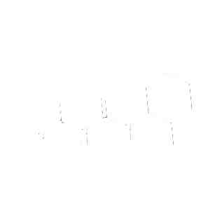 COC(=N)NC(=O)NC1CCCCC1C